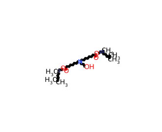 CC(C)=CCC/C(C)=C\COC(=O)CCCCCCCN(CCCO)CCCCCCCC(=O)OC/C=C(/C)CCC=C(C)C